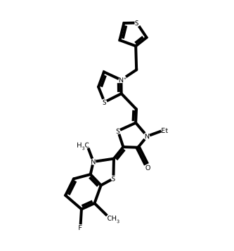 CCn1c(=O)/c(=C2\Sc3c(ccc(F)c3C)N2C)s/c1=C\c1scc[n+]1Cc1ccsc1